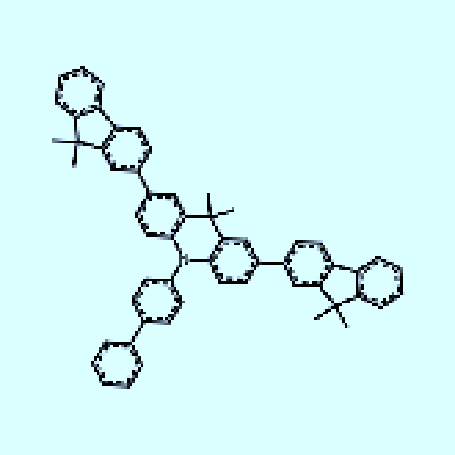 CC1(C)c2ccccc2-c2ccc(-c3ccc4c(c3)C(C)(C)c3cc(-c5ccc6c(c5)C(C)(C)c5ccccc5-6)ccc3N4c3ccc(-c4ccccc4)cc3)cc21